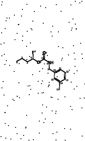 CCCC(F)OC(=O)NCc1cccc(I)c1